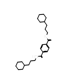 O=C(NCCCC1CCCCC1)c1ccc(C(=O)NCCCC2CCCCC2)cc1